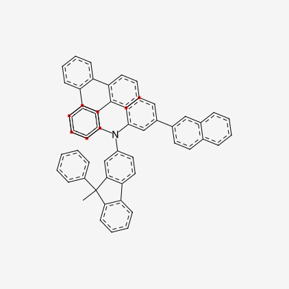 CC1(c2ccccc2)c2ccccc2-c2ccc(N(c3cccc(-c4ccc5ccccc5c4)c3)c3ccccc3-c3ccccc3-c3ccccc3-c3ccccc3)cc21